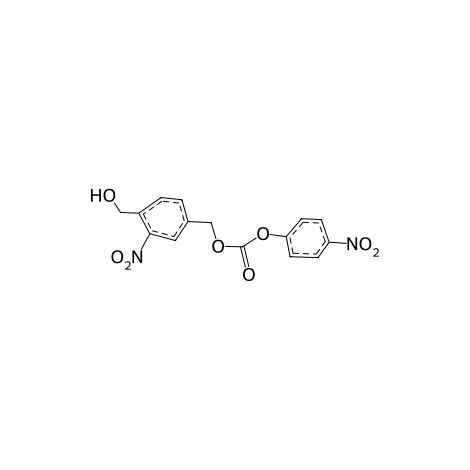 O=C(OCc1ccc(CO)c([N+](=O)[O-])c1)Oc1ccc([N+](=O)[O-])cc1